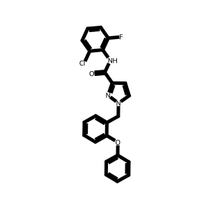 O=C(Nc1c(F)cccc1Cl)c1ccn(Cc2ccccc2Oc2ccccc2)n1